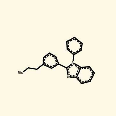 CC(C)(C)CCc1cccc(-c2nc3ccccc3n2-c2ccccc2)c1